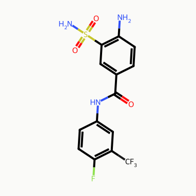 Nc1ccc(C(=O)Nc2ccc(F)c(C(F)(F)F)c2)cc1S(N)(=O)=O